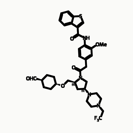 COc1cc(CC(=O)N2C[C@@H](N3CCN(CC(F)(F)F)CC3)C[C@H]2CO[C@H]2CC[C@H](C=O)CC2)ccc1NC(=O)c1csc2ccccc12